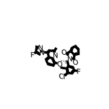 Cc1cc(-n2cc(F)cn2)c2cccc(OCc3c(Cl)cc(F)cc3[C@H](C)N3C(=O)c4ccccc4C3=O)c2n1